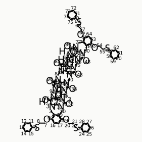 C[C@]12N3Cc4c(OCCSc5ccccc5)ccc(OCCSc5ccccc5)c4CN1C(=O)N1CN4C(=O)N5CN6C(=O)N7CN8C(=O)N9Cc%10c(OCCSc%11ccccc%11)ccc(OCCSc%11ccccc%11)c%10CN%10C(=O)N(CN%11C(=O)N(CN%12C(=O)N(CN(C3=O)[C@]12C)[C@@H]4[C@H]%125)[C@@H]6[C@H]%117)[C@]8(C)[C@@]9%10C